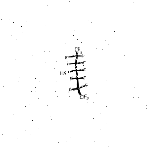 FC(F)(F)C(F)(F)C(F)(F)C(F)(F)C(F)(F)C(F)(F)C(F)(F)F.[KH]